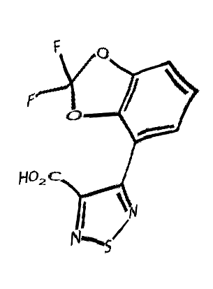 O=C(O)c1nsnc1-c1cccc2c1OC(F)(F)O2